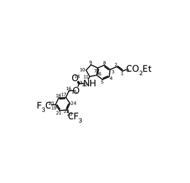 CCOC(=O)/C=C/c1ccc2c(c1)CCC2NC(=O)OCc1cc(C(F)(F)F)cc(C(F)(F)F)c1